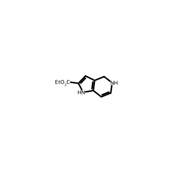 CCOC(=O)c1cc2c([nH]1)C=CNC2